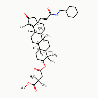 CC(C)C1=C2[C@H]3CC[C@@H]4[C@@]5(C)CC[C@H](OC(=O)CC(C)(C)C(=O)OC(C)(C)C)C(C)(C)[C@@H]5CC[C@@]4(C)[C@]3(C)CC[C@@]2(C=CC(=O)NCC2CCCCC2)CC1=O